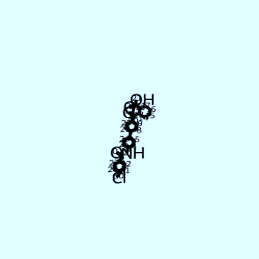 O=C(Nc1ccc(-c2ccc(C(=O)C3CCCCC3C(=O)O)cc2)cc1)c1ccc(Cl)cc1